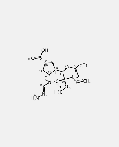 CCC[C@](C)(OC)[C@H](NC(C)=O)[C@@H]1C[C@@H](C(=O)O)C[C@H]1NC=NN